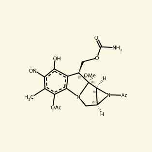 CO[C@@]12[C@H](COC(N)=O)c3c(O)c(N=O)c(C)c(OC(C)=O)c3N1C[C@H]1[C@@H]2N1C(C)=O